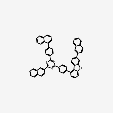 c1ccc2cc(-c3ccc4c(c3)oc3cccc(-c5ccc(-c6nc(-c7ccc(-c8cccc9ccccc89)cc7)nc(-c7ccc8ccccc8c7)n6)cc5)c34)ccc2c1